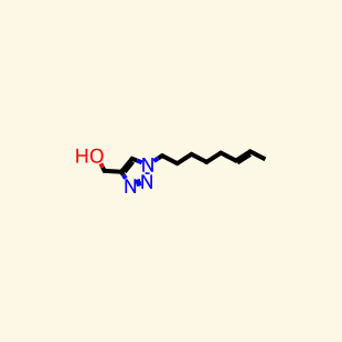 C/C=C/CCCCCn1cc(CO)nn1